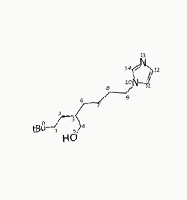 CC(C)(C)CC[C@H](CO)CCCCn1ccnc1